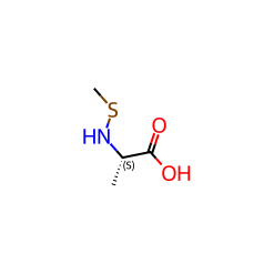 CSN[C@@H](C)C(=O)O